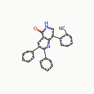 N#Cc1ccccc1-c1c[nH]c(=O)c2cc(-c3ccccc3)c(-c3cc[c]cc3)nc12